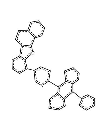 c1ccc(-c2c3ccccc3c(-c3ccc(-c4cccc5c4oc4c6ccccc6ccc54)cn3)c3ccccc23)cc1